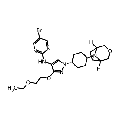 CCOCCOc1nn([C@H]2CC[C@H](N3[C@@H]4CC[C@H]3COC4)CC2)cc1Nc1ncc(Br)cn1